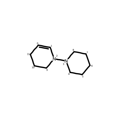 C1=CN(N2CCCCC2)CCC1